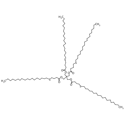 CCCCCCCCCCCCCCCCCCSCCCC(=O)OCC(COC(=O)CCCSCCCCCCCCCCCCCCCCCC)(COC(=O)CCCSCCCCCCCCCCCCCCCCCC)COC(=O)CCCSCCCCCCCCCCCCCCCCCC